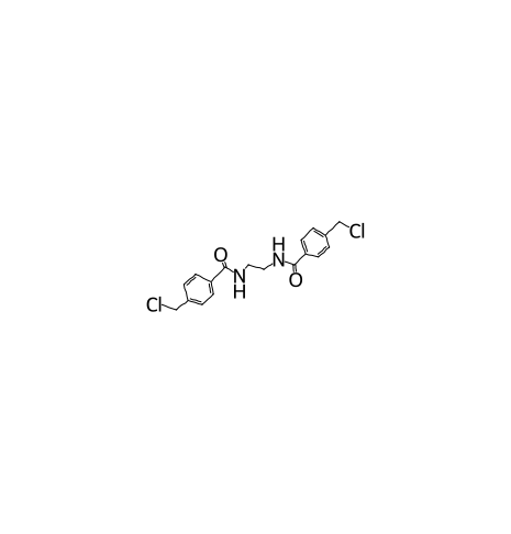 O=C(NCCNC(=O)c1ccc(CCl)cc1)c1ccc(CCl)cc1